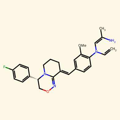 C=CN(/C=C(/C)N)c1ccc(/C=C2\CCCN3C2=NOC[C@@H]3c2ccc(F)cc2)cc1OC